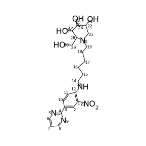 O=[N+]([O-])c1cc(-c2ncccn2)ccc1NCCCCCCN1CC(O)[C@H](O)C(O)C1CO